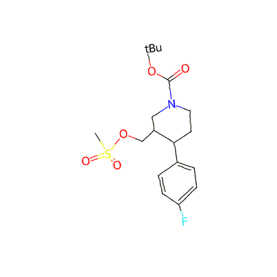 CC(C)(C)OC(=O)N1CCC(c2ccc(F)cc2)C(COS(C)(=O)=O)C1